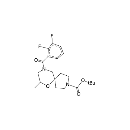 CC1CN(C(=O)c2cccc(F)c2F)CC2(CCN(C(=O)OC(C)(C)C)CC2)O1